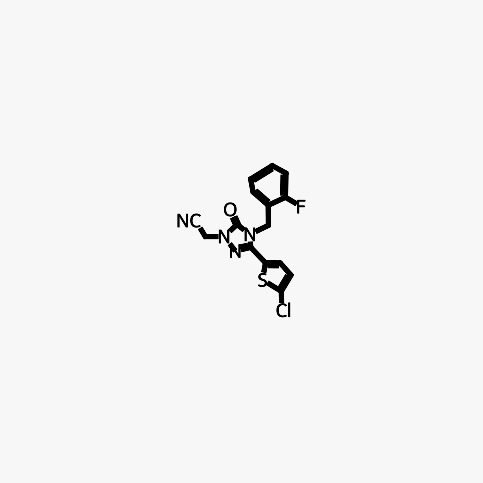 N#CCn1nc(-c2ccc(Cl)s2)n(Cc2ccccc2F)c1=O